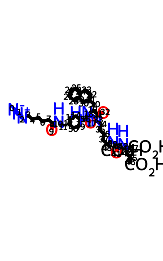 [N-]=[N+]=NCCCCCC(=O)NC[C@H]1CC[C@H](C(=O)N[C@@H](Cc2ccc3ccccc3c2)C(=O)NCCCC[C@H](NC(=O)N[C@@H](CCC(=O)O)C(=O)O)C(=O)O)CC1